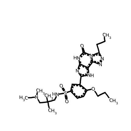 CCCOc1ccc(S(=O)(=O)NCC(C)(C)CN(C)C)cc1-c1nc2[nH]c(=O)n3c(CCC)nnc3c2[nH]1